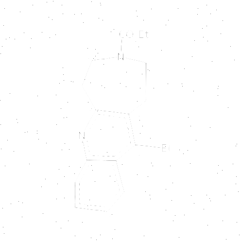 CCOC(=O)N1CCc2nc3ccccc3c(CC)c2CC1